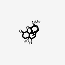 COc1ccc2c3c1OC1C(=O)CC[C@@]4(O)[C@H](CCC[C@]314)C2